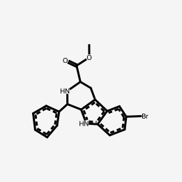 COC(=O)C1Cc2c([nH]c3ccc(Br)cc23)C(c2ccccc2)N1